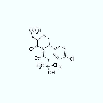 CC[C@@H](CC(C)(O)C(F)(F)F)N1C(=O)[C@@H](CC(=O)O)CCC1c1ccc(Cl)cc1